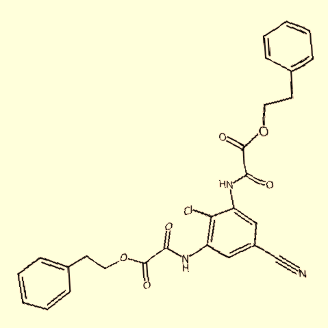 N#Cc1cc(NC(=O)C(=O)OCCc2ccccc2)c(Cl)c(NC(=O)C(=O)OCCc2ccccc2)c1